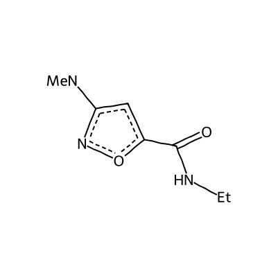 CCNC(=O)c1cc(NC)no1